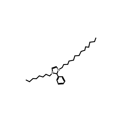 CCCCCCCCCCCCCCN1C=CN(CCCCCCCC)C1c1ccccc1